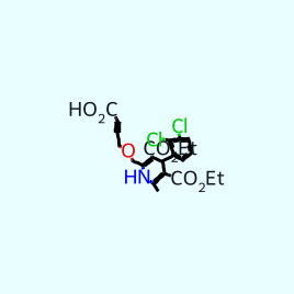 CCOC(=O)C1=C(C)NC(COCC#CC(=O)O)=C(C(=O)OCC)C1c1cccc(Cl)c1Cl